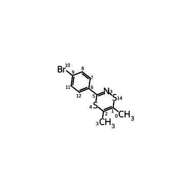 CC1=C(C)SC(c2ccc(Br)cc2)=NS1